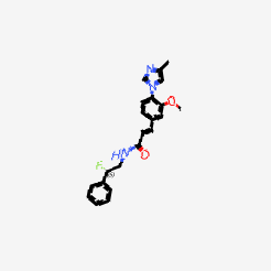 COc1cc(C=CC(=O)NC[C@@H](F)c2ccccc2)ccc1-n1cnc(C)c1